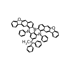 CS(c1ccccc1)(c1ccccc1)c1cc2c3c(c1)N(c1ccccc1)c1c(ccc4cc5oc6ccccc6c5cc14)B3c1ccc3cc4oc5ccccc5c4cc3c1N2c1ccccc1